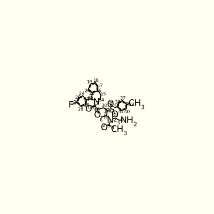 CC(=O)N(CCN)[C@H]1CO[C@@H](C(=O)N2CCc3ccccc3[C@@H]2c2ccc(F)cc2)C[C@@H]1S(=O)(=O)c1ccc(C)cc1